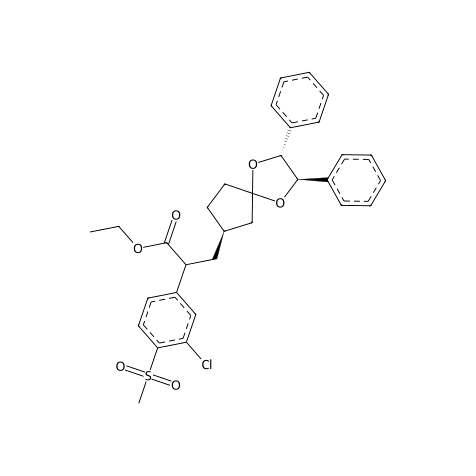 CCOC(=O)C(C[C@H]1CCC2(C1)O[C@H](c1ccccc1)[C@@H](c1ccccc1)O2)c1ccc(S(C)(=O)=O)c(Cl)c1